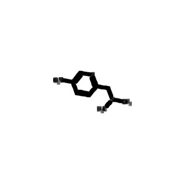 CN(C)Cc1ccc([N+](=O)[O-])cn1